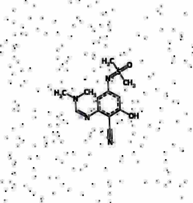 CN(C)/C=N\c1cc(N=S(C)(C)=O)cc(O)c1C#N